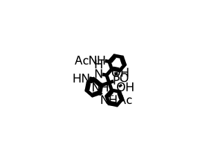 CC(=O)Nc1ccccc1C(NC(=N)N)C(c1ccccc1)(c1ccccc1NC(C)=O)P(=O)(O)O